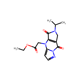 CCOC(=O)Cn1c2c(c(=O)n3nccc13)CN(C(C)C)C2=O